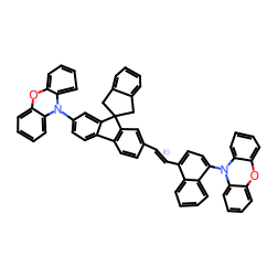 C(=C\c1ccc(N2c3ccccc3Oc3ccccc32)c2ccccc12)/c1ccc2c(c1)C1(Cc3ccccc3C1)c1cc(N3c4ccccc4Oc4ccccc43)ccc1-2